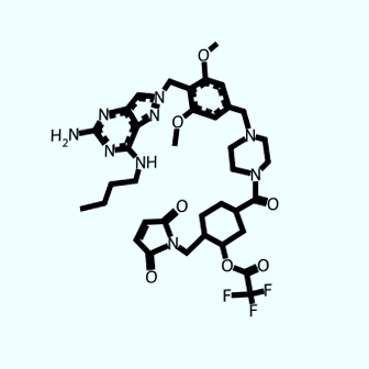 CCCCNc1nc(N)nc2cn(Cc3c(OC)cc(CN4CCN(C(=O)C5CCC(CN6C(=O)C=CC6=O)C(OC(=O)C(F)(F)F)C5)CC4)cc3OC)nc12